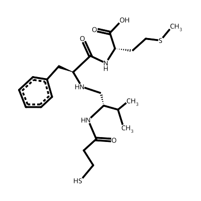 CSCC[C@H](NC(=O)[C@H](Cc1ccccc1)NC[C@@H](NC(=O)CCS)C(C)C)C(=O)O